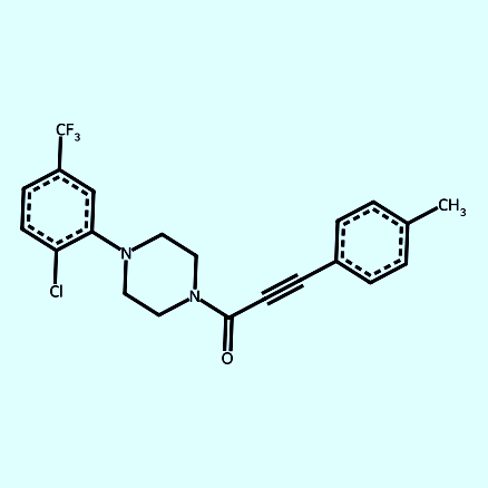 Cc1ccc(C#CC(=O)N2CCN(c3cc(C(F)(F)F)ccc3Cl)CC2)cc1